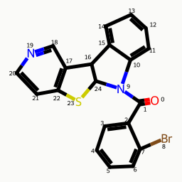 O=C(c1ccccc1Br)N1c2ccccc2C2c3cnccc3SC21